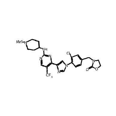 CSN1CCC(Nc2ncc(C(F)(F)F)c(-c3cn(-c4ccc(CN5CCOC5=O)cc4Cl)cn3)n2)CC1